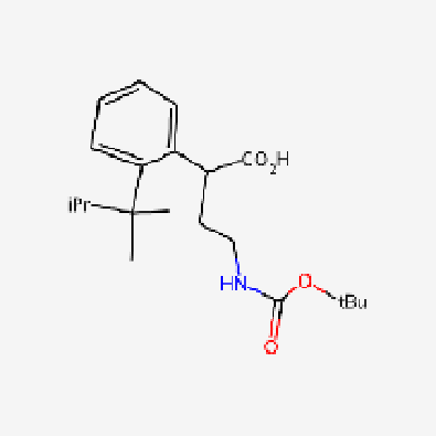 CC(C)C(C)(C)c1ccccc1C(CCNC(=O)OC(C)(C)C)C(=O)O